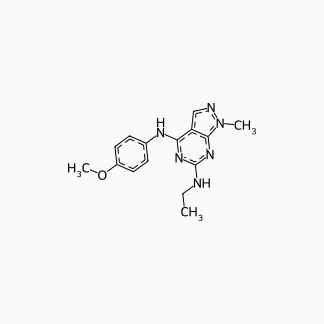 CCNc1nc(Nc2ccc(OC)cc2)c2cnn(C)c2n1